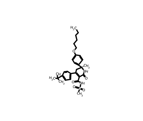 CCCCCCOc1ccc([C@]2(C)CC(c3ccc(C(C)(C)C)cc3)=C(C(=O)NS(C)(=O)=O)C(=O)N2)cc1